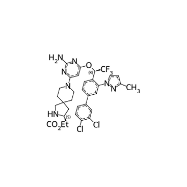 CCOC(=O)[C@@H]1CC2(CCN(c3cc(O[C@H](c4ccc(-c5ccc(Cl)c(Cl)c5)cc4-n4ccc(C)n4)C(F)(F)F)nc(N)n3)CC2)CN1